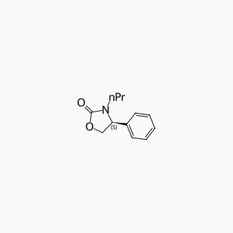 CCCN1C(=O)OC[C@@H]1c1ccccc1